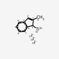 CC1=Cc2ccccc2[CH]1[Ti+3].[I-].[I-].[I-]